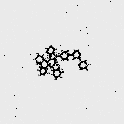 c1ccc(-c2cccc(-c3ccc(-n4c5ccccc5c5c6c7ccccc7c7ccccc7c6c6c7ccccc7sc6c54)cc3)c2)cc1